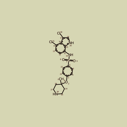 CC1(Oc2ccc(S(=O)(=O)Nc3ccc(Cl)c4c(Cl)c[nH]c34)cc2)CCNCC1